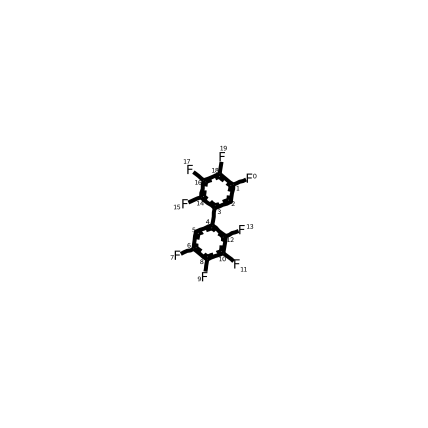 Fc1cc(-c2cc(F)c(F)c(F)c2F)c(F)c(F)c1F